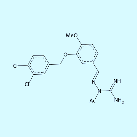 COc1ccc(/C=N/N(C(=N)N)C(C)=O)cc1OCc1ccc(Cl)c(Cl)c1